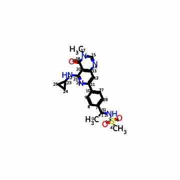 C[C@H](NS(C)(=O)=O)c1ccc(-c2cc3ncn(C)c(=O)c3c(NC3CC3)n2)cc1